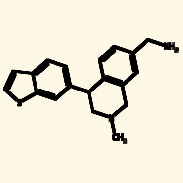 CN1Cc2cc(CN)ccc2C(c2ccc3ccsc3c2)C1